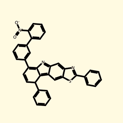 O=[N+]([O-])c1ccccc1-c1cccc(C2=C3N=c4cc5nc(-c6ccccc6)sc5cc4=C3C(c3ccccc3)C=C2)c1